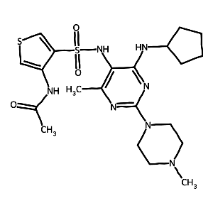 CC(=O)Nc1cscc1S(=O)(=O)Nc1c(C)nc(N2CCN(C)CC2)nc1NC1CCCC1